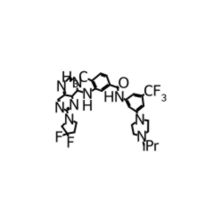 Cc1ccc(C(=O)Nc2cc(N3CCN(C(C)C)CC3)cc(C(F)(F)F)c2)cc1NC1N=CN=C2C=NC(N3CCC(F)(F)C3)=NC21